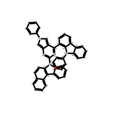 c1ccc(-n2cc3nc(-n4c5ccccc5c5c6ccccc6ccc54)nc(-c4cccc5c6ccccc6n(-c6ccccc6)c45)c3c2)cc1